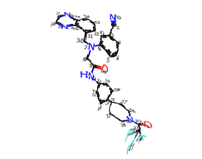 N#Cc1cccc(N(CC(=O)Nc2ccc(C3CCN(C(=O)C(F)(F)F)CC3)cc2)Cc2cccc3nccnc23)c1